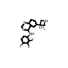 CC1(c2ccc3ncnc(Nc4ccc(F)c(F)c4F)c3c2)CNC1